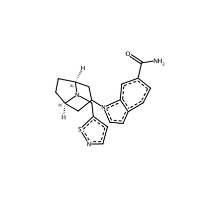 NC(=O)c1ccc2ccn(C3C[C@H]4CC[C@@H](C3)N4Cc3ccns3)c2c1